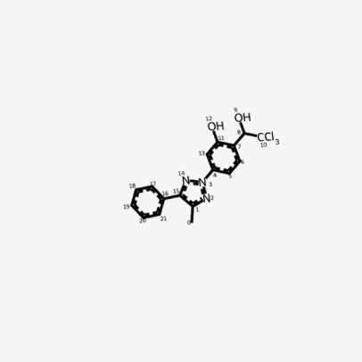 Cc1nn(-c2ccc(C(O)C(Cl)(Cl)Cl)c(O)c2)nc1-c1ccccc1